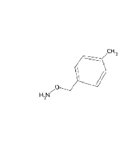 Cc1ccc(CON)cc1